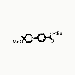 COC1(C)CCN(c2ccc(C(=O)OC(C)(C)C)cc2)CC1